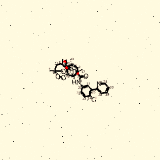 C[C@@H]1CC[C@@H]2[C@]34OO[C@](C)(CC[C@@H]13)O[C@H]4O[C@]2(C)C(=O)Nc1ccc(Cl)c(-c2ccccn2)c1